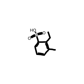 CCc1c(C)cccc1S(=O)(=O)O